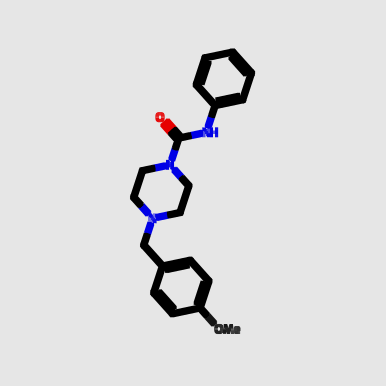 COc1ccc(CN2CCN(C(=O)Nc3ccccc3)CC2)cc1